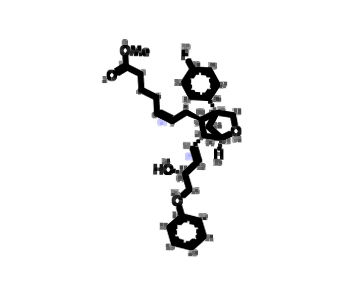 COC(=O)CCC/C=C\C[C@@H]1[C@@H](/C=C/[C@@H](O)COc2ccccc2)[C@H]2C[C@]1(c1ccc(F)cc1)CO2